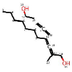 C=C=C.CCCCCCCC=C=C(C)CO.CCO